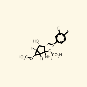 N[C@@]1(OC(=O)O)[C@@H]2[C@H](OC(=O)O)[C@H]2[C@H](O)[C@@H]1CSc1ccc(F)c(F)c1